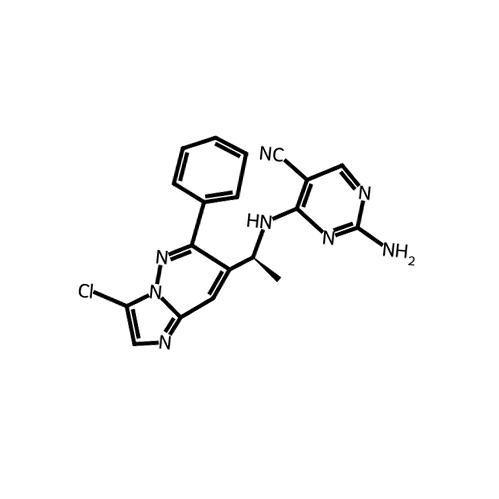 C[C@H](Nc1nc(N)ncc1C#N)c1cc2ncc(Cl)n2nc1-c1ccccc1